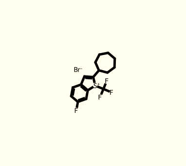 Fc1ccc2cc(C3CCCCCC3)[s+](C(F)(F)F)c2c1.[Br-]